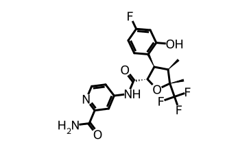 C[C@@H]1[C@H](c2ccc(F)cc2O)[C@@H](C(=O)Nc2ccnc(C(N)=O)c2)O[C@@]1(C)C(F)(F)F